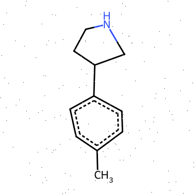 Cc1ccc(C2CCNC2)cc1